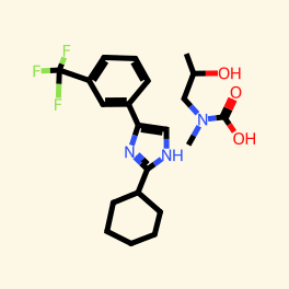 CC(O)CN(C)C(=O)O.FC(F)(F)c1cccc(-c2c[nH]c(C3CCCCC3)n2)c1